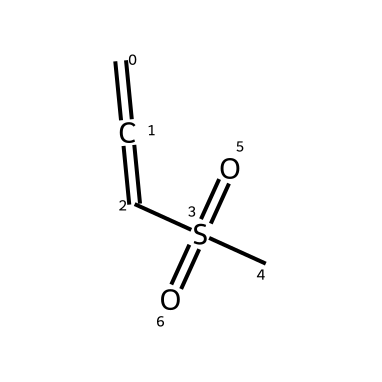 C=C=CS(C)(=O)=O